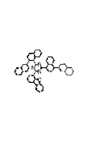 C1=CC2CCCCC2C=C1c1ccc(-c2nc(-c3c(-c4ccc5ccccc5c4)ccc4ccccc34)nc(-c3cccc4c3oc3ccccc34)n2)c2ccccc12